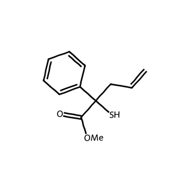 C=CCC(S)(C(=O)OC)c1ccccc1